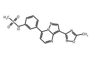 Cc1nc(-c2cnn3c(-c4cccc(NS(C)(=O)=O)c4)ccnc23)no1